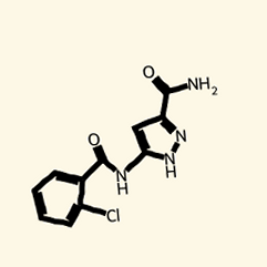 NC(=O)c1cc(NC(=O)c2ccccc2Cl)[nH]n1